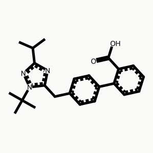 CC(C)c1nc(Cc2ccc(-c3ccccc3C(=O)O)cc2)n(C(C)(C)C)n1